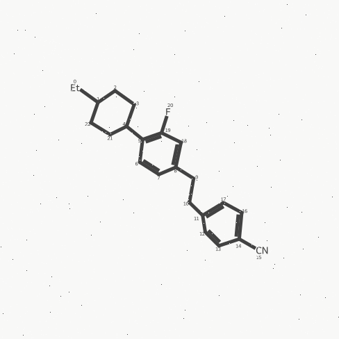 CCC1CCC(c2ccc(CCc3ccc(C#N)cc3)cc2F)CC1